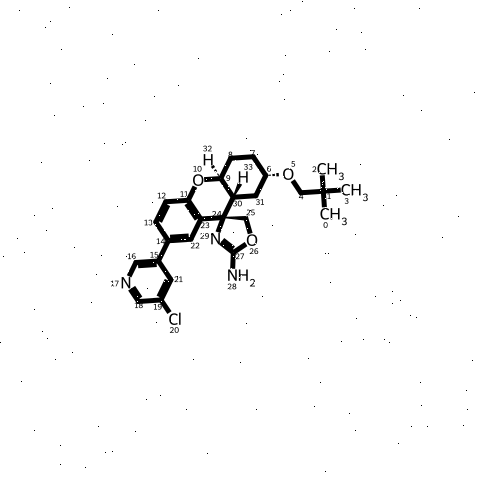 CC(C)(C)CO[C@H]1CC[C@@H]2Oc3ccc(-c4cncc(Cl)c4)cc3[C@]3(COC(N)=N3)[C@H]2C1